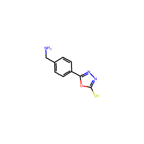 NCc1ccc(-c2nnc(S)o2)cc1